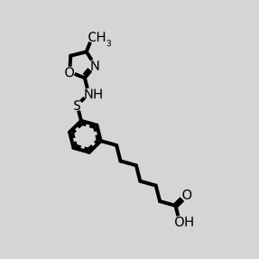 CC1COC(NSc2cccc(CCCCCCC(=O)O)c2)=N1